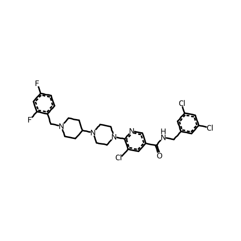 O=C(NCc1cc(Cl)cc(Cl)c1)c1cnc(N2CCN(C3CCN(Cc4ccc(F)cc4F)CC3)CC2)c(Cl)c1